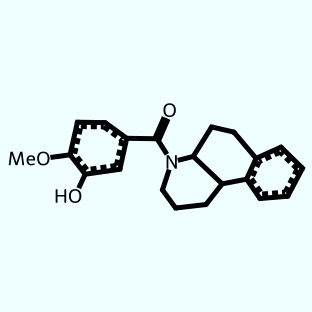 COc1ccc(C(=O)N2CCCC3c4ccccc4CCC32)cc1O